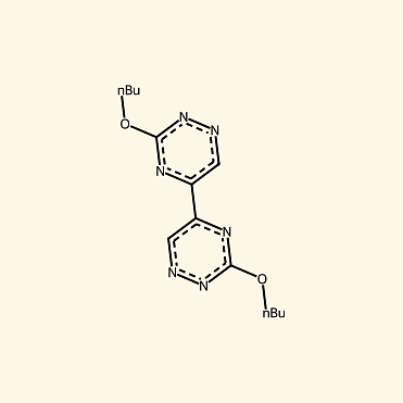 CCCCOc1nncc(-c2cnnc(OCCCC)n2)n1